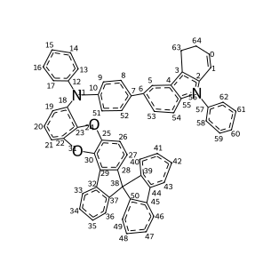 C1=Cc2c(c3cc(-c4ccc(N(c5ccccc5)c5cccc6c5Oc5ccc7c(c5O6)-c5ccccc5C75c6ccccc6-c6ccccc65)cc4)ccc3n2-c2ccccc2)CC1